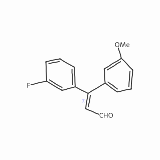 COc1cccc(/C(=C\C=O)c2cccc(F)c2)c1